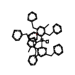 Cc1cc(Cc2ccccc2)cc([Si](Cl)(c2cc(Cc3ccccc3)cc(C)c2Cc2ccccc2)c2cc(Cc3ccccc3)cc(C)c2Cc2ccccc2)c1Cc1ccccc1